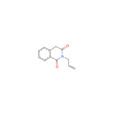 C=CCN1C(=O)Cc2ccccc2C1=O